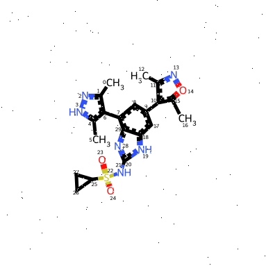 Cc1n[nH]c(C)c1-c1cc(-c2c(C)noc2C)cc2[nH]c(NS(=O)(=O)C3CC3)nc12